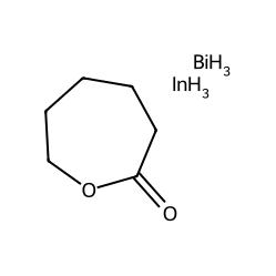 O=C1CCCCCO1.[BiH3].[InH3]